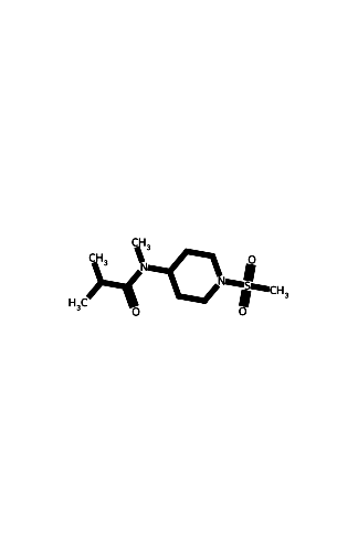 CC(C)C(=O)N(C)C1CCN(S(C)(=O)=O)CC1